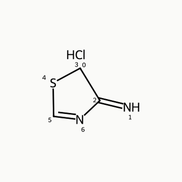 Cl.N=C1CSC=N1